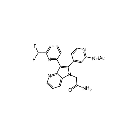 CC(=O)Nc1cc(-c2c(-c3cccc(C(F)F)n3)c3ncccc3n2CC(N)=O)ccn1